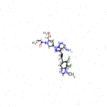 C=CC(=O)N1C[C@@H](n2nc(C#Cc3cc4ncn(C)c4c(F)c3F)c3c(N)ncnc32)C[C@@H]1COC